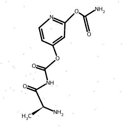 C[C@H](N)C(=O)NC(=O)Oc1ccnc(OC(N)=O)c1